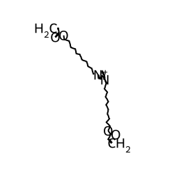 C=CC(=O)OCCCCCCCCCCCn1cc[n+](CCCCCCCCCCCOC(=O)C=C)c1